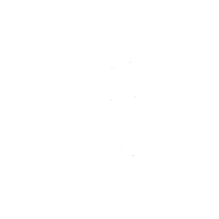 OCC(O)COC(OCC1CO1)C(COCC1CO1)OCC1CO1